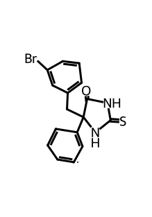 O=C1NC(=S)NC1(Cc1cccc(Br)c1)c1c[c]ccc1